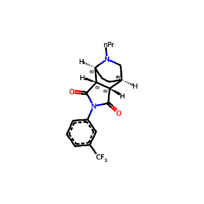 CCCN1C[C@@H]2CC[C@H]1[C@H]1C(=O)N(c3cccc(C(F)(F)F)c3)C(=O)[C@@H]21